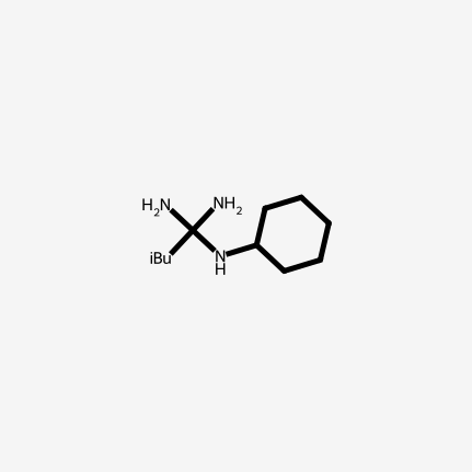 CCC(C)C(N)(N)NC1CCCCC1